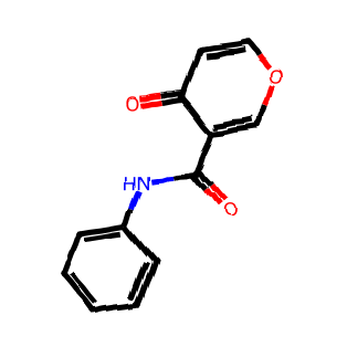 O=C(Nc1ccccc1)c1coccc1=O